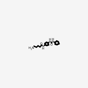 NCCCCC(=O)Nc1ccc(NC(=O)Nc2ccccc2)cc1